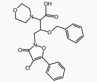 O=C(O)C(C(Cn1oc(-c2ccccc2)c(Cl)c1=O)OCc1ccccc1)N1CCOCC1